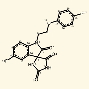 O=C1NC(=O)C2(N1)C(=O)N(CCOc1ccc(F)cc1)c1ccc(F)cc12